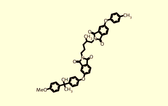 COc1ccc(C(C)(C)c2ccc(Oc3ccc4c(c3)C(=O)N(CCCC(C)CN3C(=O)c5ccc(Oc6ccc(C)cc6)cc5C3=O)C4=O)cc2)cc1